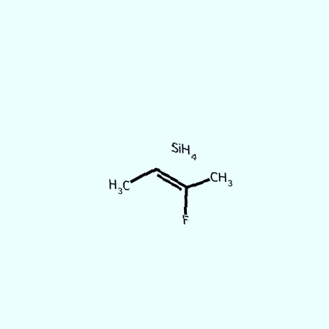 CC=C(C)F.[SiH4]